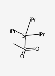 CC(C)[Si](C(C)C)(C(C)C)S(C)(=O)=O